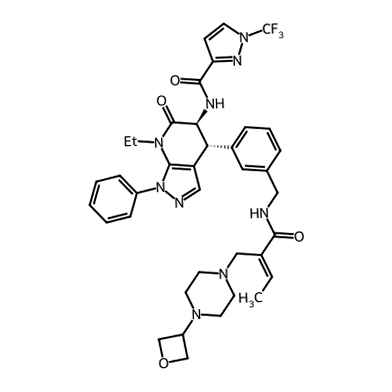 C/C=C(\CN1CCN(C2COC2)CC1)C(=O)NCc1cccc([C@@H]2c3cnn(-c4ccccc4)c3N(CC)C(=O)[C@H]2NC(=O)c2ccn(C(F)(F)F)n2)c1